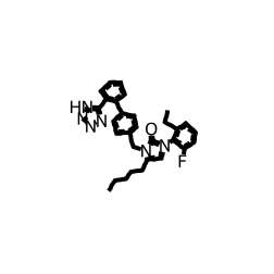 CCCCCc1cn(-c2c(F)cccc2CC)c(=O)n1Cc1ccc(-c2ccccc2-c2nnn[nH]2)cc1